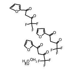 O.O.O=C(CC(=O)C(F)(F)F)c1ccco1.O=C(CC(=O)C(F)(F)F)c1ccco1.O=C(CC(=O)C(F)(F)F)c1ccco1.[Eu]